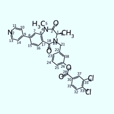 C[C@@H]1C(=O)N(C)c2cc(-c3ccncc3)ccc2C(=O)N1Cc1cccc(OC(=O)c2ccc(Cl)c(Cl)c2)c1